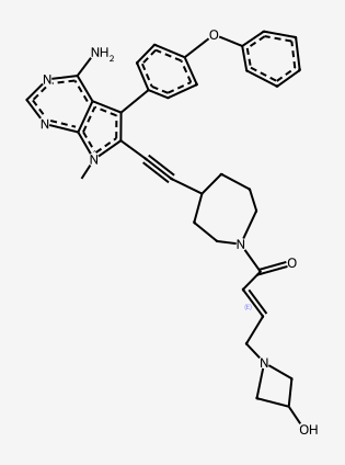 Cn1c(C#CC2CCCN(C(=O)/C=C/CN3CC(O)C3)CC2)c(-c2ccc(Oc3ccccc3)cc2)c2c(N)ncnc21